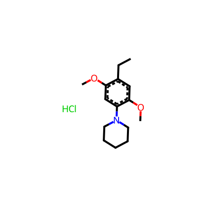 CCc1cc(OC)c(N2CCCCC2)cc1OC.Cl